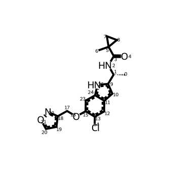 C[C@@H](NC(=O)C1(C)CC1)c1cc2cc(Cl)c(OCc3ccon3)cc2[nH]1